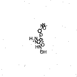 Cc1nnc(-c2cccc(OCc3csc4c(C(=O)NCCO)cnc(N)c34)c2)o1